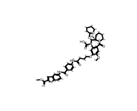 COC(=O)c1cc2cc(NC(=O)c3ccc(NC(=O)CCCOc4cc5c(cc4OC)C(=O)N4CCCC[C@H]4C(OC4CCCCO4)N5C(=O)O)cc3)ccc2s1